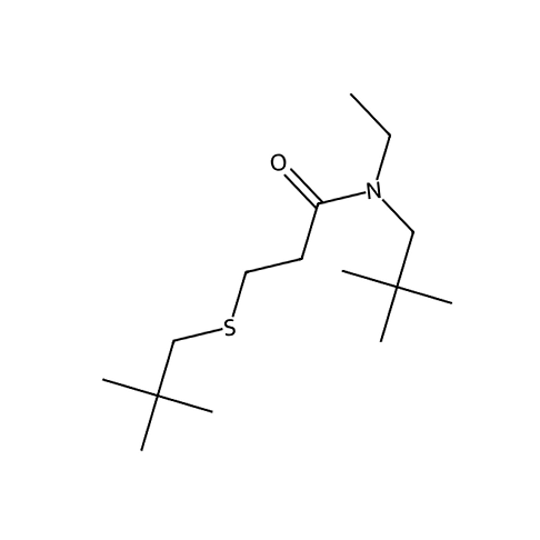 CCN(CC(C)(C)C)C(=O)CCSCC(C)(C)C